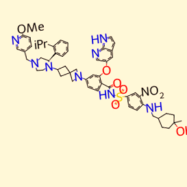 COc1ccc(CN2CCN(C3CC4(C3)CN(c3ccc(C(=O)NS(=O)(=O)c5ccc(NCC6CCC(C)(O)CC6)c([N+](=O)[O-])c5)c(Oc5cnc6[nH]ccc6c5)c3)C4)[C@H](c3ccccc3C(C)C)C2)cn1